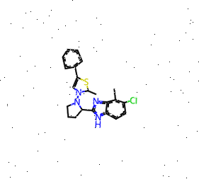 Cc1c(Cl)ccc2[nH]c(C3CCCN3N3[C]=C(c4ccccc4)SC3C)nc12